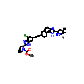 CC(C)(C)OC(=O)N1C2CC2C[C@H]1c1nc2c(F)cc(C#Cc3ccc4c(ccc5nc(C6C[C@H]7C[C@H]7N6)[nH]c54)c3)cc2[nH]1